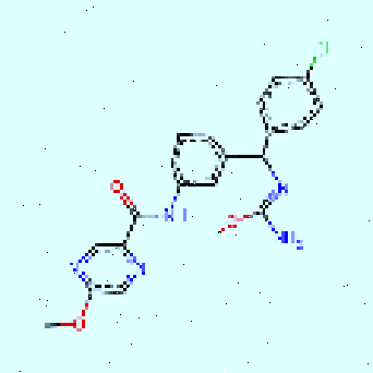 CO/C(N)=N\C(c1ccc(Cl)cc1)c1cccc(NC(=O)c2cnc(OC)cn2)c1